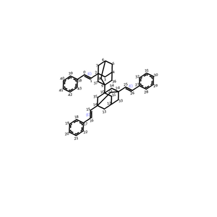 C(=C\C12CC3CC(C1)CC(C14CC5CC(/C=C/c6ccccc6)(CC(/C=C/c6ccccc6)(C5)C1)C4)(C3)C2)/c1ccccc1